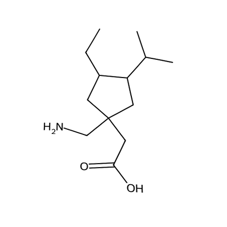 CCC1CC(CN)(CC(=O)O)CC1C(C)C